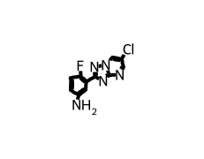 Nc1ccc(F)c(-c2nc3ncc(Cl)cn3n2)c1